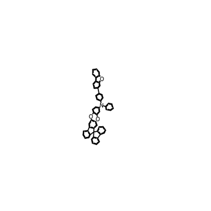 c1ccc(N(c2ccc(-c3ccc4c(c3)oc3ccccc34)cc2)c2ccc3c(c2)Oc2cc4c(cc2O3)-c2ccccc2C42c3ccccc3-c3ccccc32)cc1